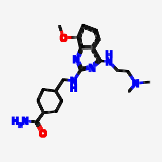 COc1cccc2c(NCCN(C)C)nc(NCC3CCC(C(N)=O)CC3)nc12